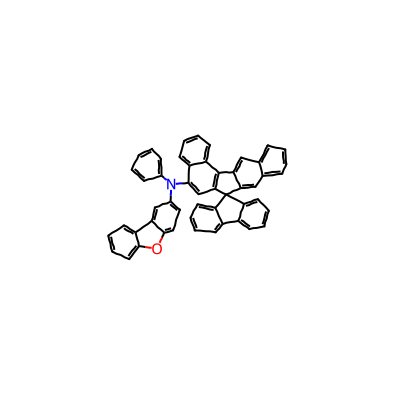 c1ccc(N(c2ccc3oc4ccccc4c3c2)c2cc3c(c4ccccc24)-c2cc4ccccc4cc2C32c3ccccc3-c3ccccc32)cc1